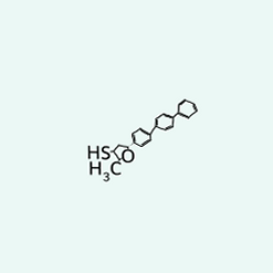 C[C@H]1O[C@@H](c2ccc(-c3ccc(-c4ccccc4)cc3)cc2)CC1S